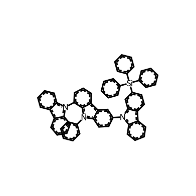 c1ccc(-n2c3ccc(-n4c5ccccc5c5ccc([Si](c6ccccc6)(c6ccccc6)c6ccccc6)cc54)cc3c3cccc(-n4c5ccccc5c5ccccc54)c32)cc1